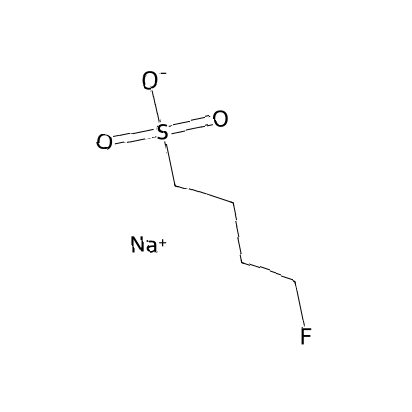 O=S(=O)([O-])CCCCF.[Na+]